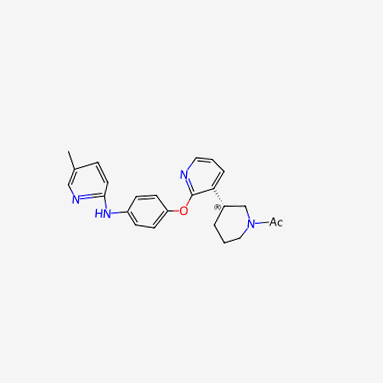 CC(=O)N1CCC[C@H](c2cccnc2Oc2ccc(Nc3ccc(C)cn3)cc2)C1